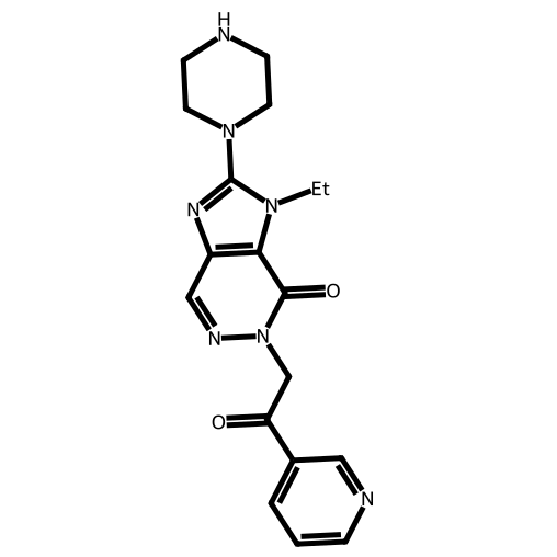 CCn1c(N2CCNCC2)nc2cnn(CC(=O)c3cccnc3)c(=O)c21